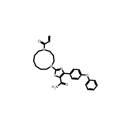 C=CC(=O)N1CCCCCCN(c2nc(-c3ccc(Oc4ccccc4)cc3)c(C(N)=O)s2)CCC1